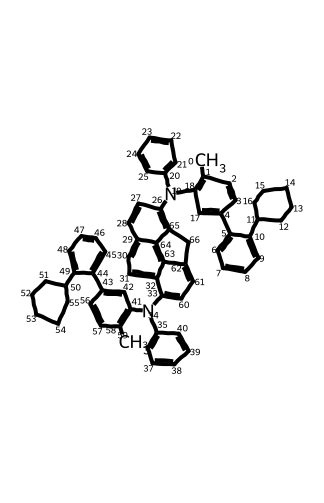 Cc1ccc(-c2ccccc2C2CCCCC2)cc1N(c1ccccc1)c1ccc2ccc3c(N(c4ccccc4)c4cc(-c5ccccc5C5CCCCC5)ccc4C)ccc4c3c2c1C4